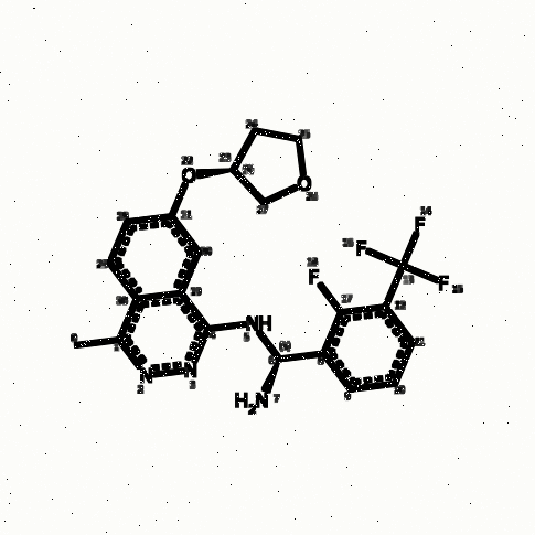 Cc1nnc(N[C@H](N)c2cccc(C(F)(F)F)c2F)c2cc(O[C@H]3CCOC3)ccc12